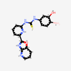 Bc1ccc(NC(=S)Nc2cccc(-c3nc4ncccc4o3)n2)cc1O